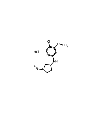 COc1nc(NC2CCN(C=O)C2)ncc1Cl.Cl